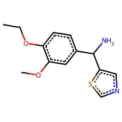 CCOc1ccc(C(N)c2cncs2)cc1OC